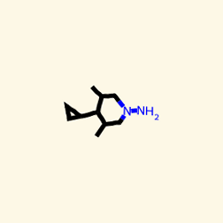 CC1CN(N)CC(C)C1C1CC1